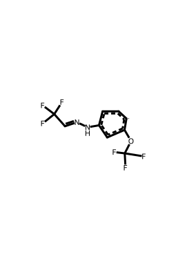 FC(F)(F)C=NNc1cc[c]c(OC(F)(F)F)c1